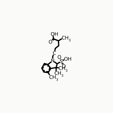 Cc1cccc2c1C(C)(C)C(S(=O)(=O)O)N2CCCCC(C)C(=O)O